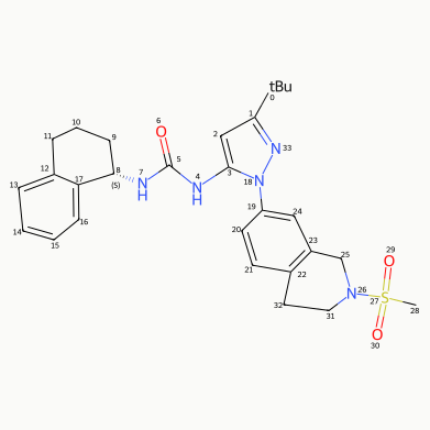 CC(C)(C)c1cc(NC(=O)N[C@H]2CCCc3ccccc32)n(-c2ccc3c(c2)CN(S(C)(=O)=O)CC3)n1